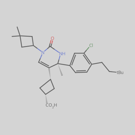 CC(C)(C)CCc1ccc([C@]2(C)NC(=O)N(C3CC(C)(C)C3)C=C2[C@H]2C[C@@H](C(=O)O)C2)cc1Cl